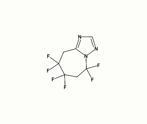 FC1(F)CC(F)(F)C(F)(F)Cc2ncnn21